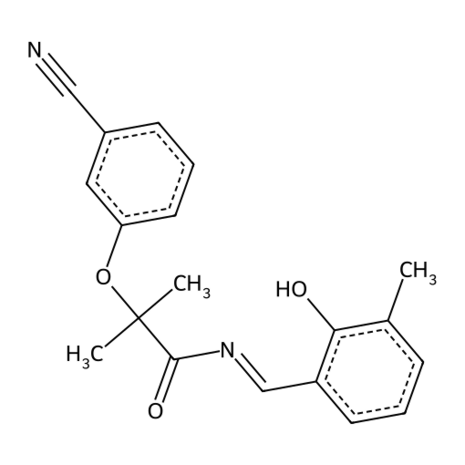 Cc1cccc(C=NC(=O)C(C)(C)Oc2cccc(C#N)c2)c1O